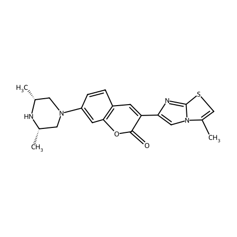 Cc1csc2nc(-c3cc4ccc(N5C[C@@H](C)N[C@@H](C)C5)cc4oc3=O)cn12